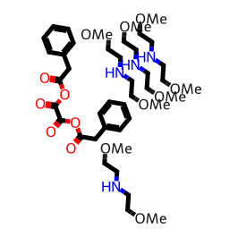 COCCNCCOC.COCCNCCOC.COCCNCCOC.COCCNCCOC.O=C(Cc1ccccc1)OC(=O)C(=O)OC(=O)Cc1ccccc1